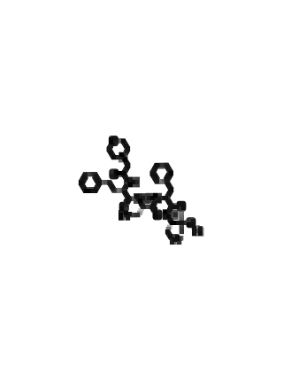 CCOC(C)(C)[C@H](CC(C)C)NC(=O)C(Cc1ccccc1)NC(=O)[C@H](CC(C)C)NC(=O)C(CCc1ccccc1)NC(=O)CN1CCOCC1